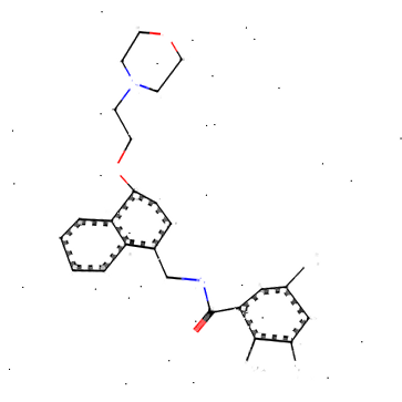 COc1c(C(=O)NCc2ccc(OCCN3CCOCC3)c3ccccc23)cc(C(C)(C)C)cc1[N+](=O)[O-]